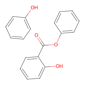 O=C(Oc1ccccc1)c1ccccc1O.Oc1ccccc1